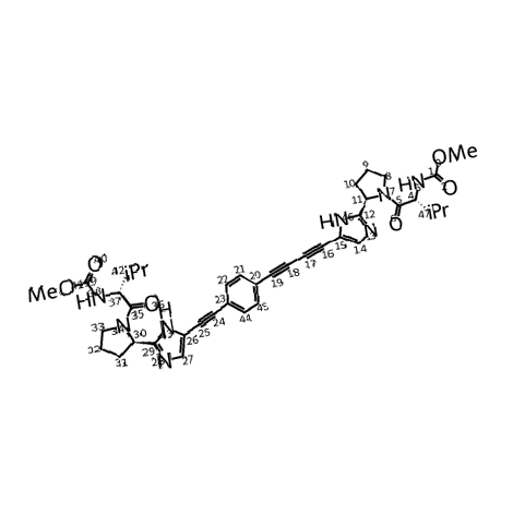 COC(=O)N[C@@H](C(=O)N1CCC[C@@H]1c1ncc(C#CC#Cc2ccc(C#Cc3cnc([C@H]4CCCN4C(=O)[C@H](NC(=O)OC)C(C)C)[nH]3)cc2)[nH]1)C(C)C